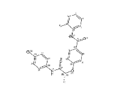 Cc1ccccc1NC(=O)c1ccc(O[C@H](C)C(=O)Nc2ccc(Cl)cc2)cc1